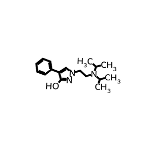 CC(C)N(CCn1cc(-c2ccccc2)c(O)n1)C(C)C